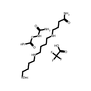 CCCC(=O)ONC(N)=O.CCCCCCCCCCCCCCNCCCCNCCCC(N)=O.O=C(O)C(F)(F)F